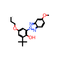 [CH2]CCOc1cc(-n2nc3ccc(OC)cc3n2)c(O)c(C(C)(C)C)c1